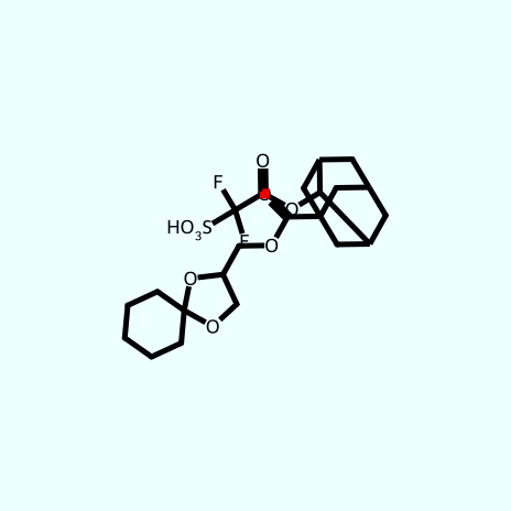 O=C(OCC1COC2(CCCCC2)O1)C12CC3CC(C1)C(OC(=O)C(F)(F)S(=O)(=O)O)C(C3)C2